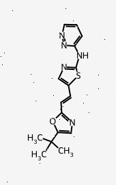 CC(C)(C)c1cnc(C=Cc2cnc(Nc3cccnn3)s2)o1